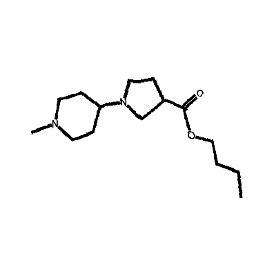 CCCCOC(=O)C1CCN(C2CCN(C)CC2)C1